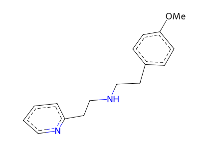 COc1ccc(CCNCCc2ccccn2)cc1